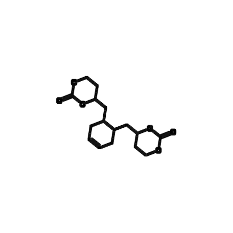 O=C1OCCC(CC2CC=CCC2CC2CCOC(=O)O2)O1